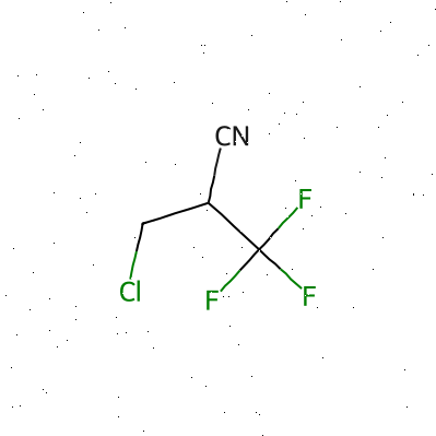 N#CC(CCl)C(F)(F)F